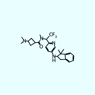 CN(C)C1CC(C(=O)N(C)C(c2ccc(NC3Cc4ccccc4C3(C)C)cn2)C(F)(F)F)C1